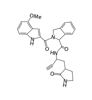 C#CC(CC1CCNC1=O)NC(=O)C1c2ccccc2CN1C(=O)c1cc2c(OC)cccc2[nH]1